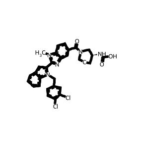 Cn1c(-c2cc3ccccc3n2Cc2ccc(Cl)c(Cl)c2)nc2cc(C(=O)N3CCC[C@@H](NC(=O)O)C3)ccc21